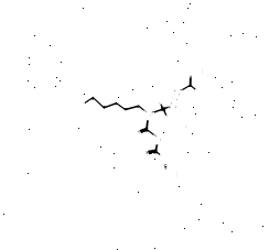 CCCCCCN(C(=O)NC(=O)OC)C(C)(C)N=NC(C)C